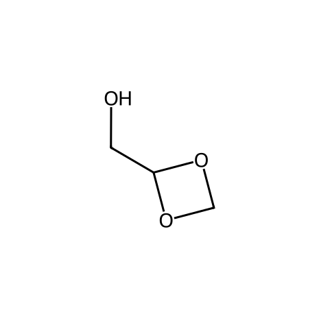 OCC1OCO1